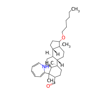 CCCCCCOC1CC[C@H]2[C@@H]3CC=C4C(C)(C5=CC=CC=CN5)C(C=O)CC[C@]4(C)[C@H]3CC[C@]12C